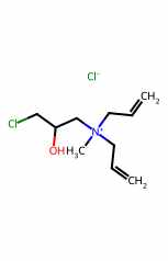 C=CC[N+](C)(CC=C)CC(O)CCl.[Cl-]